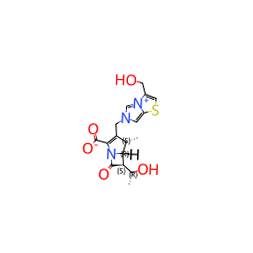 C[C@@H](O)[C@H]1C(=O)N2C(C(=O)[O-])=C(Cn3cc4scc(CO)[n+]4c3)[C@H](C)[C@H]12